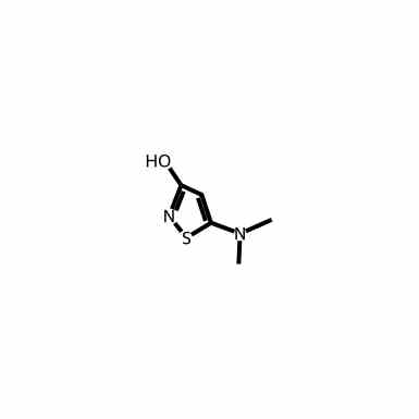 CN(C)c1cc(O)ns1